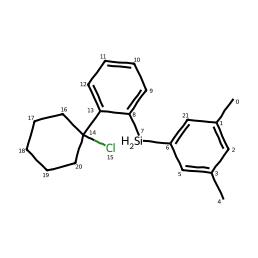 Cc1cc(C)cc([SiH2]c2ccccc2C2(Cl)CCCCC2)c1